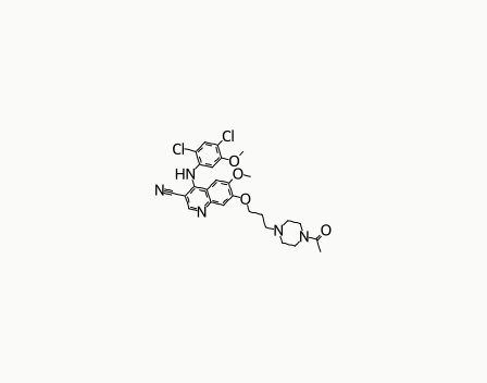 COc1cc(Nc2c(C#N)cnc3cc(OCCCN4CCN(C(C)=O)CC4)c(OC)cc23)c(Cl)cc1Cl